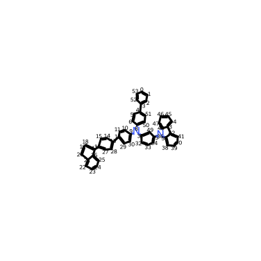 c1ccc(-c2ccc(N(c3ccc(-c4ccc(-c5cccc6ccccc56)cc4)cc3)c3cccc(-n4c5ccccc5c5ccccc54)c3)cc2)cc1